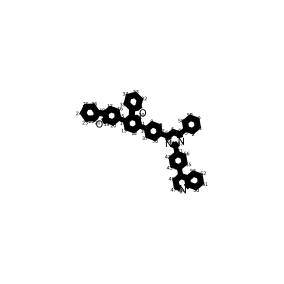 c1ccc(-c2cc(-c3ccc(-c4ccc(-c5ccc6c(c5)oc5ccccc56)c5c4oc4ccccc45)cc3)nc(-c3ccc(-c4ccnc5ccccc45)cc3)n2)cc1